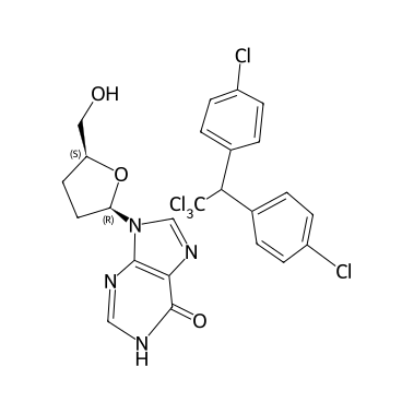 Clc1ccc(C(c2ccc(Cl)cc2)C(Cl)(Cl)Cl)cc1.O=c1[nH]cnc2c1ncn2[C@H]1CC[C@@H](CO)O1